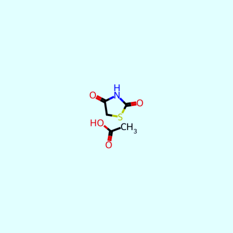 CC(=O)O.O=C1CSC(=O)N1